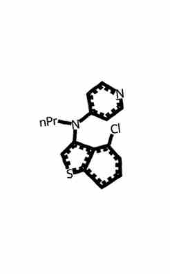 CCCN(c1ccncc1)c1csc2cccc(Cl)c12